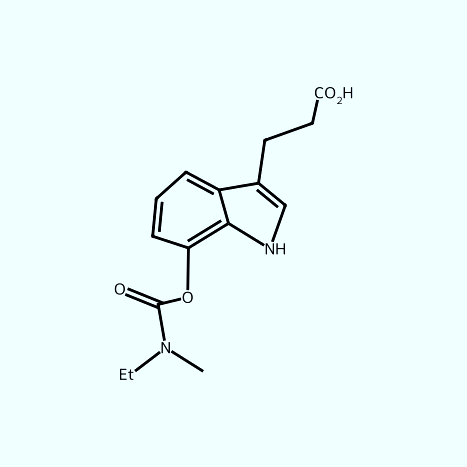 CCN(C)C(=O)Oc1cccc2c(CCC(=O)O)c[nH]c12